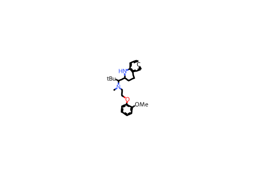 COc1ccccc1OCCN(C)C(C1CCc2ccccc2N1)C(C)(C)C